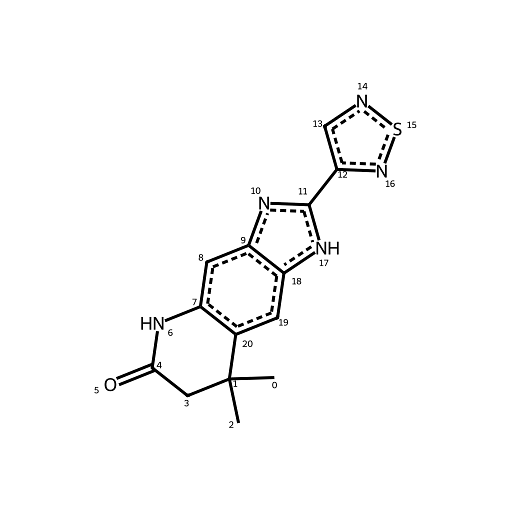 CC1(C)CC(=O)Nc2cc3nc(-c4cnsn4)[nH]c3cc21